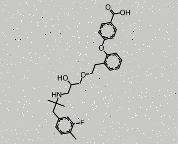 Cc1ccc(CC(C)(C)NC[C@@H](O)COCCc2ccccc2Oc2ccc(C(=O)O)cc2)cc1F